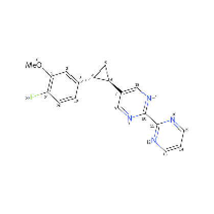 COc1cc([C@@H]2C[C@H]2c2cnc(-c3ncccn3)nc2)ccc1F